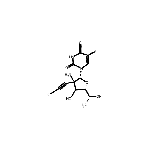 C[C@@H](O)[C@H]1O[C@@H](n2cc(F)c(=O)[nH]c2=O)[C@@](N)(C#CCl)C1O